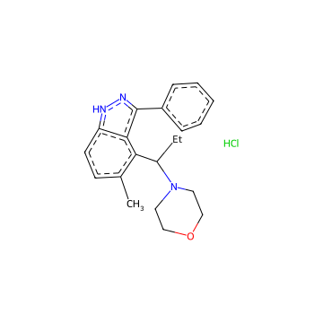 CCC(c1c(C)ccc2[nH]nc(-c3ccccc3)c12)N1CCOCC1.Cl